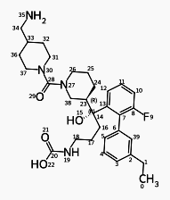 CCc1cccc(-c2c(F)cccc2[C@@](O)(CCCNC(=O)O)[C@@H]2CCCN(C(=O)N3CCC(CN)CC3)C2)c1